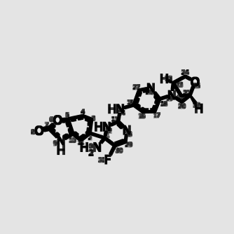 NC1(c2ccc3oc(=O)[nH]c3c2)NC(Nc2ccc(N3C[C@@H]4C[C@H]3CO4)nc2)=NC=C1F